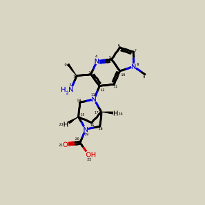 C[C@H](N)c1nc2ccn(C)c2cc1N1C[C@@H]2C[C@H]1CN2C(=O)O